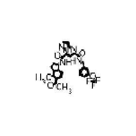 CC(=O)c1ccc2c(c1C)CC[C@@H]2NC(=O)c1cc(C(=O)NCc2cccc(OC(F)(F)F)c2)nc2ccnn12